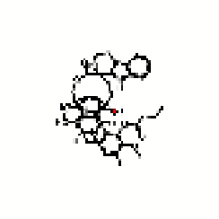 CCCC(=O)Oc1c(OC)c(C)cc2c1[C@H]1C3[C@@H]4SC[C@]5(NCCc6c5[nH]c5ccccc65)C(=O)OC[C@@H](c5c6c(c(C)c(O)c54)OCO6)N3[C@@H](O)[C@H](C2)N1C